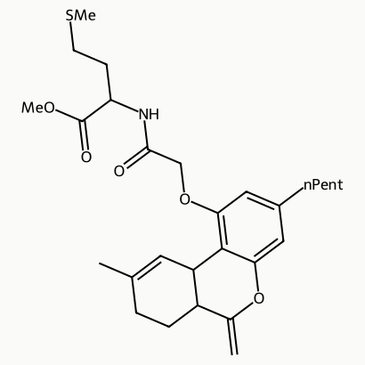 C=C1Oc2cc(CCCCC)cc(OCC(=O)NC(CCSC)C(=O)OC)c2C2C=C(C)CCC12